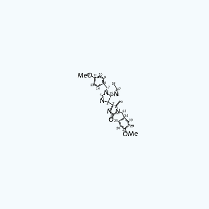 C=C1C(C2N=CN(Cc3ccc(OC)cc3)C2/N=C\C)=NC(=O)N1Cc1ccc(OC)cc1